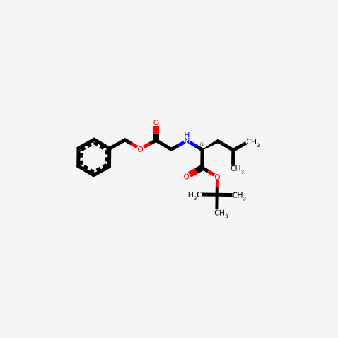 CC(C)C[C@H](NCC(=O)OCc1ccccc1)C(=O)OC(C)(C)C